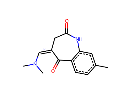 Cc1ccc2c(c1)NC(=O)C/C(=C/N(C)C)C2=O